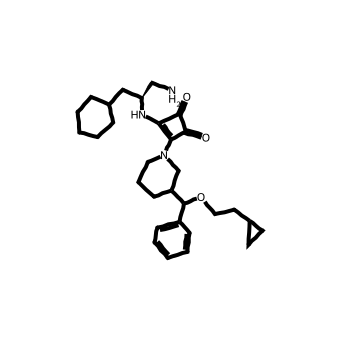 NC[C@H](CC1CCCCC1)Nc1c(N2CCCC(C(OCCC3CC3)c3ccccc3)C2)c(=O)c1=O